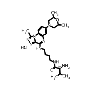 Cc1nnc2c(NCCCCNC(=O)[C@@H](N)C(C)C)nc3cc(N4CC(C)OC(C)C4)ccc3n12.Cl